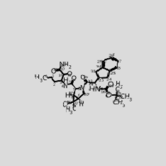 CCCC(NC(=O)[C@@H]1[C@@H]2[C@H](CN1C(=O)[C@@H](NC(=O)OC(C)(C)C)C1Cc3ccccc3C1)C2(C)Cl)C(=O)C(N)=O